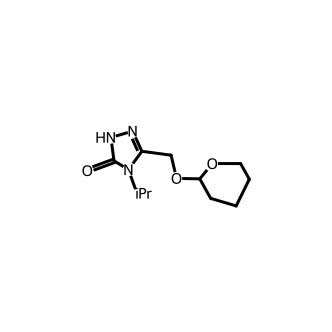 CC(C)n1c(COC2CCCCO2)n[nH]c1=O